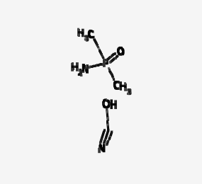 CP(C)(N)=O.N#CO